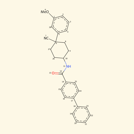 COc1cccc(C2(C#N)CCC(NC(=O)c3ccc(-c4ccccc4)cc3)CC2)c1